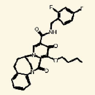 CCCCOc1c2n(cc(C(=O)NCc3ccc(F)cc3F)c1=O)C1CCc3ccccc3N(C1)C2=O